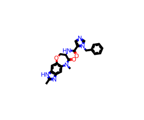 Cc1nc2cc3c(cc2[nH]1)OC[C@@H](NC(=O)c1cncn1Cc1ccccc1)C(=O)N3C